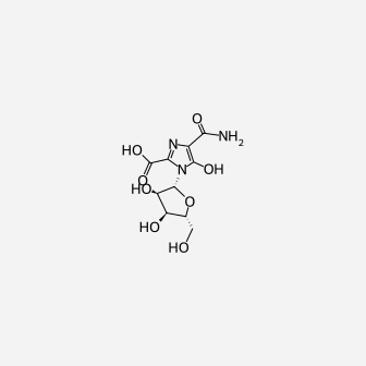 NC(=O)c1nc(C(=O)O)n([C@@H]2O[C@H](CO)[C@@H](O)[C@H]2O)c1O